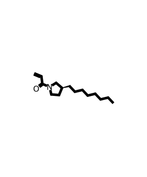 C=CC(=O)N1CC[C@H](CCCCCCCC)C1